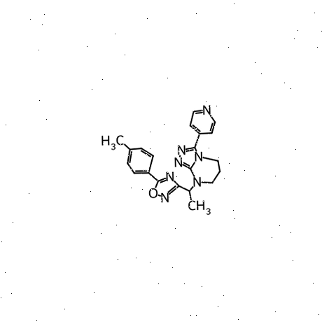 Cc1ccc(-c2nc(C(C)N3CCCn4c(-c5ccncc5)nnc43)no2)cc1